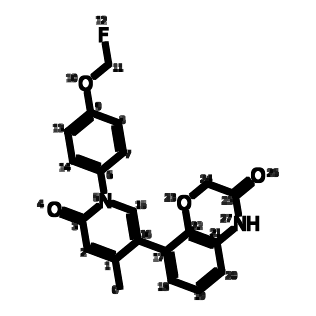 Cc1cc(=O)n(-c2ccc(OCF)cc2)cc1-c1cccc2c1OCC(=O)N2